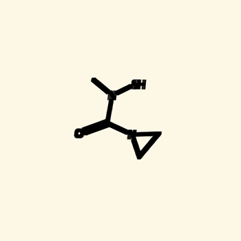 CN(S)C(=O)N1CC1